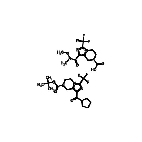 CC(C)(C)OC(=O)N1CCn2c(C(F)(F)F)nc(C(=O)C3CCCC3)c2C1.CON(C)C(=O)c1nc(C(F)(F)F)n2c1CN(C(=O)O)CC2